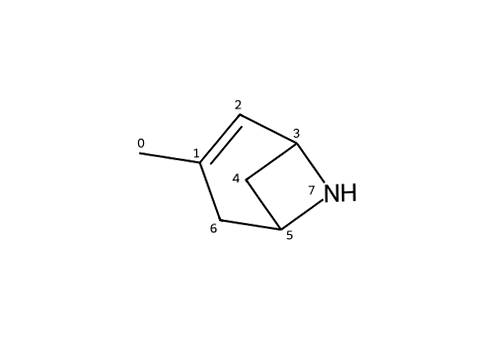 CC1=CC2CC(C1)N2